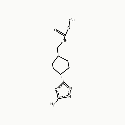 Cc1nnc([C@H]2CC[C@H](CNC(=O)OC(C)(C)C)CC2)o1